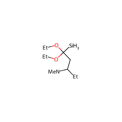 CCOC([SiH3])(CC(CC)NC)OCC